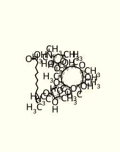 CCCCCCCCCCCC(=O)O.CC[C@H]1OC(=O)[C@H](C)[C@@H](O[C@H]2C[C@@](C)(OC)[C@@H](O)[C@H](C)O2)[C@@H](C)[C@@H](O[C@@H]2O[C@H](C)C[C@H](N(C)C)[C@H]2O)[C@](C)(O)C[C@@H](C)C(=O)[C@H](C)[C@H](O)[C@]1(C)O